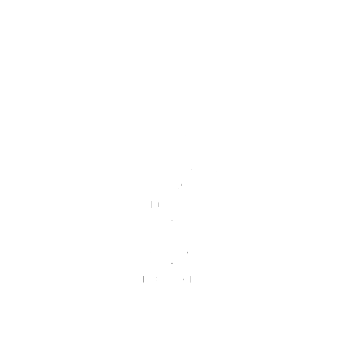 CCC1(COC(=O)/C=C/c2ccccc2)COC(C)(C)OC1